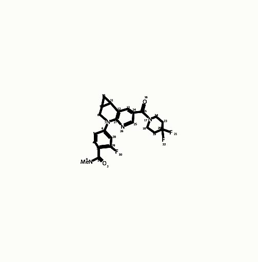 CNC(=O)c1ccc(N2CC3CC3c3cc(C(=O)N4CCC(F)(F)CC4)cnc32)cc1F